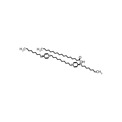 CCCCCCCCCCCCCCCCCC(=O)O.CCCCCCCCN=c1ccn(CCCCCCCCCCn2ccc(=NCCCCCCCC)cc2)cc1